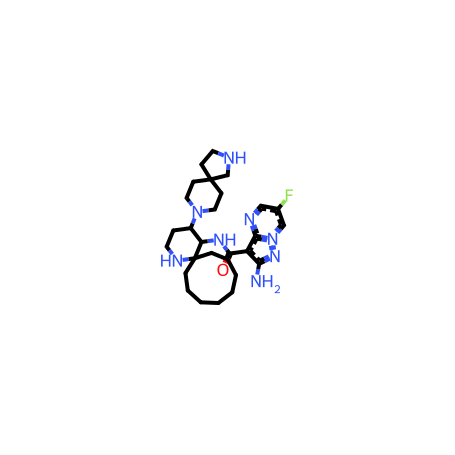 Nc1nn2cc(F)cnc2c1C(=O)NC1C(N2CCC3(CCNC3)CC2)CCNC12CCCCCCCC2